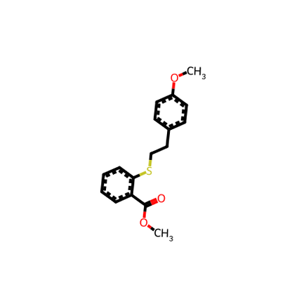 COC(=O)c1ccccc1SCCc1ccc(OC)cc1